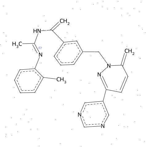 C=C(N/C(C)=N/c1ccccc1C)c1cccc(CN2N=C(c3cncnc3)C=CC2=C)c1